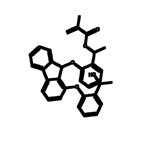 C=C(C)C(=O)OC(C)c1ccccc1OC1c2ccccc2-c2cccc(Oc3ccccc3C(C)O)c21